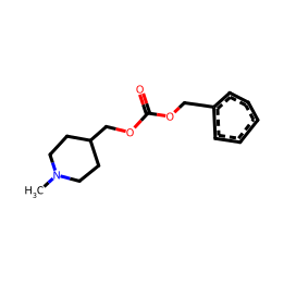 CN1CCC(COC(=O)OCc2ccccc2)CC1